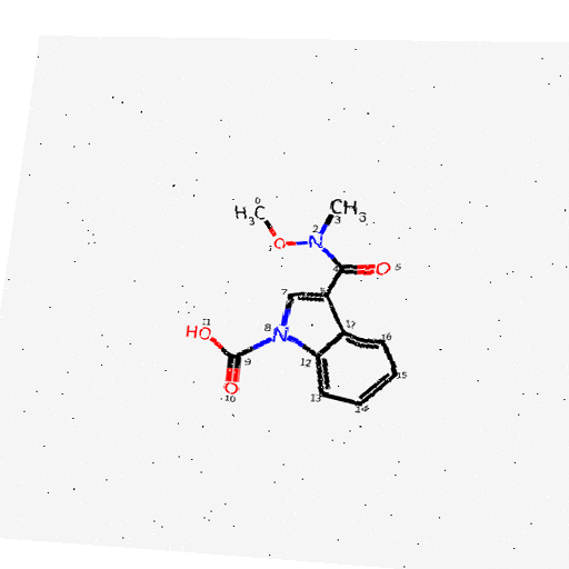 CON(C)C(=O)c1cn(C(=O)O)c2ccccc12